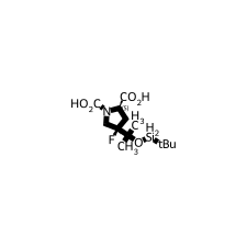 CC(C)(C)[SiH2]OC(C)(C)[C@@]1(F)C[C@@H](C(=O)O)N(C(=O)O)C1